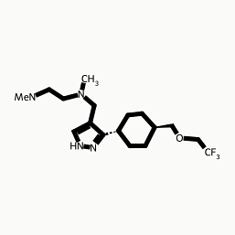 CNCCN(C)Cc1c[nH]nc1[C@H]1CC[C@H](COCC(F)(F)F)CC1